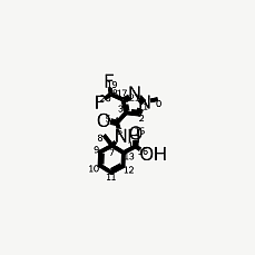 Cn1cc(C(=O)NC2(C)C=CC=CC2C(=O)O)c(C(F)F)n1